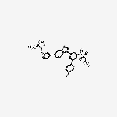 CCS(=O)(=O)Nc1cc(-c2ccc(F)cc2)cc(-n2cnc3cc(-c4cnn(CCN(C)C)c4)ccc32)c1